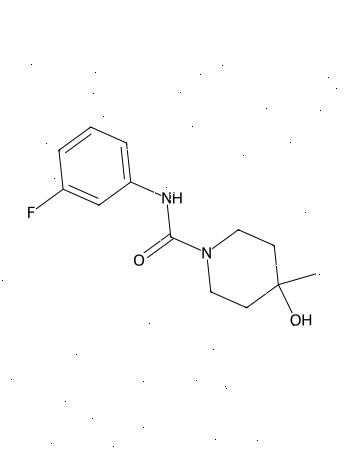 CC1(O)CCN(C(=O)Nc2cccc(F)c2)CC1